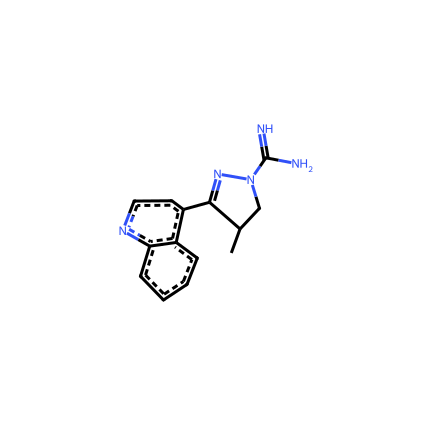 CC1CN(C(=N)N)N=C1c1ccnc2ccccc12